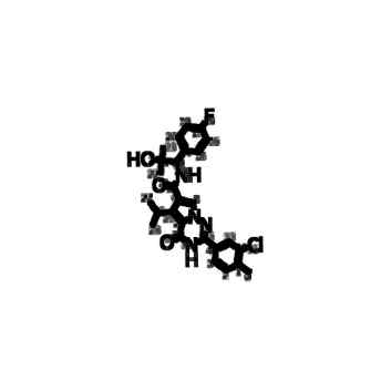 Cc1ccc(-c2nn3cc(C(=O)N[C@@H](c4ccc(F)cc4)C(C)(C)O)c(C(C)C)c3c(=O)[nH]2)cc1Cl